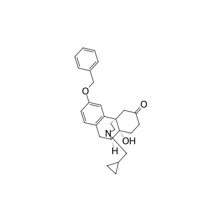 O=C1CC[C@@]2(O)[C@H]3Cc4ccc(OCc5ccccc5)cc4[C@@]2(CCN3CC2CC2)C1